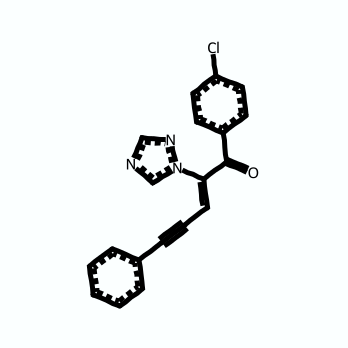 O=C(/C(=C/C#Cc1ccccc1)n1cncn1)c1ccc(Cl)cc1